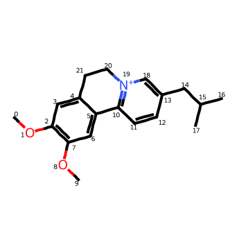 COc1cc2c(cc1OC)-c1ccc(CC(C)C)c[n+]1CC2